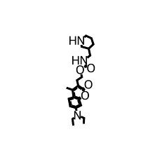 CCN(CC)c1ccc2c(C)c(CCOC(=O)NCC3CCCNC3)c(=O)oc2c1